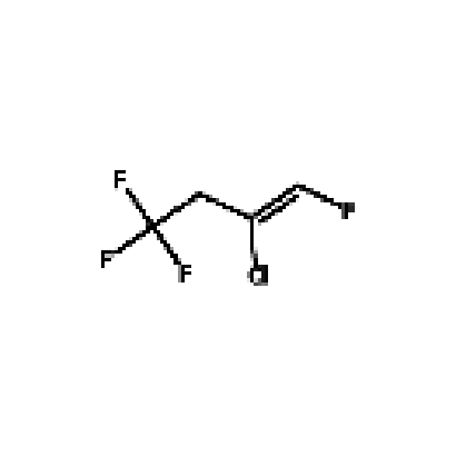 FC=C(Cl)CC(F)(F)F